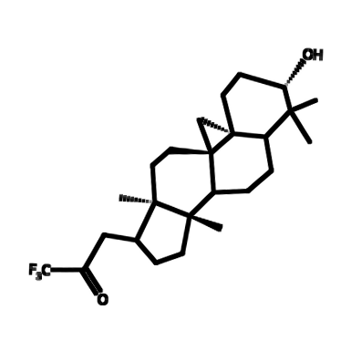 CC1(C)C2CCC3[C@]4(CC[C@]5(C)C(CC(=O)C(F)(F)F)CC[C@@]35C)C[C@]24CC[C@@H]1O